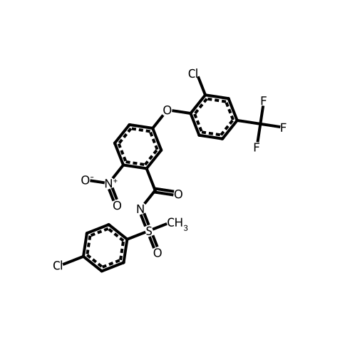 CS(=O)(=NC(=O)c1cc(Oc2ccc(C(F)(F)F)cc2Cl)ccc1[N+](=O)[O-])c1ccc(Cl)cc1